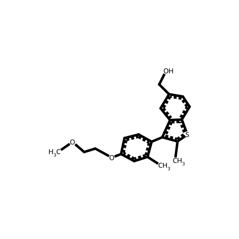 COCCOc1ccc(-c2c(C)sc3ccc(CO)cc23)c(C)c1